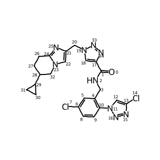 O=C(NCc1cc(Cl)ccc1-n1cc(Cl)nn1)c1cn(Cc2cn3c(n2)CCC(C2CC2)C3)nn1